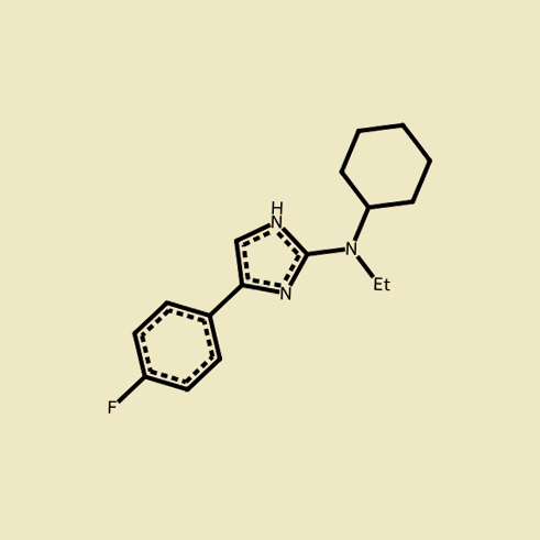 CCN(c1nc(-c2ccc(F)cc2)c[nH]1)C1CCCCC1